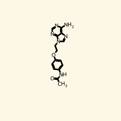 CC(=O)Nc1ccc(OCCn2cnc3c(N)ncnc32)cc1